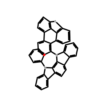 c1ccc(-n2c3ccccc3c3ccc4c5ccccc5n(-c5cccc6c7cccc8sc9cccc(c56)c9c87)c4c32)cc1